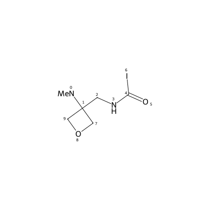 CNC1(CNC(=O)I)COC1